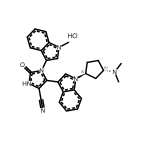 CN(C)[C@H]1CC[C@H](n2cc(-c3c(C#N)[nH]c(=O)n3-c3cn(C)c4ccccc34)c3ccccc32)C1.Cl